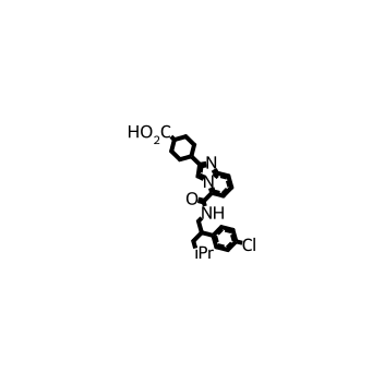 CC(C)CC(CNC(=O)c1cccc2nc(C3CCC(C(=O)O)CC3)cn12)c1ccc(Cl)cc1